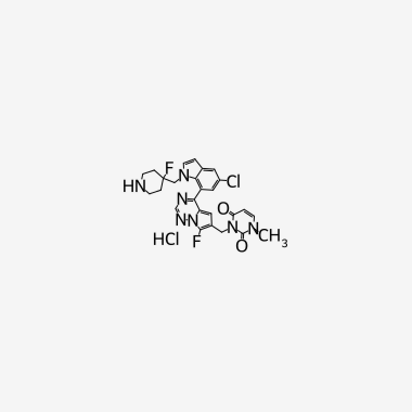 Cl.Cn1ccc(=O)n(Cc2cc3c(-c4cc(Cl)cc5ccn(CC6(F)CCNCC6)c45)ncnn3c2F)c1=O